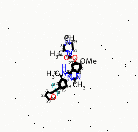 COc1cc2nc(C)nc(N[C@H](C)c3cccc(C(F)(F)C4CCCO4)c3)c2cc1OC(=O)N1CCN(C)CC1C